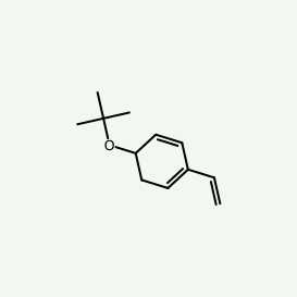 C=CC1=CCC(OC(C)(C)C)C=C1